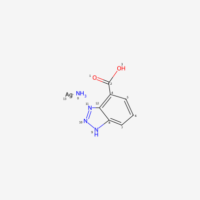 N.O=C(O)c1cccc2[nH]nnc12.[Ag]